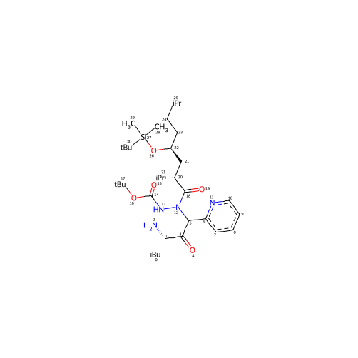 CC[C@H](C)[C@H](N)C(=O)C(c1ccccn1)N(NC(=O)OC(C)(C)C)C(=O)[C@@H](C[C@H](CCC(C)C)O[Si](C)(C)C(C)(C)C)C(C)C